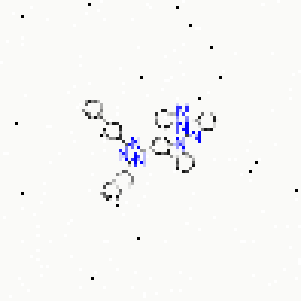 c1ccc(-c2ccc(-c3nc(-c4ccc5ccccc5c4)nc(-c4ccc5c(c4)c4ccccc4n5-c4nc5ccccc5c5nc6ccccc6n45)n3)cc2)cc1